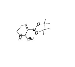 CC(C)(C)C1NCCC=C1B1OC(C)(C)C(C)(C)O1